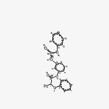 CCC(Oc1ccccc1)[PH](=O)Oc1cccc(O[PH](=O)Oc2ccccc2)c1